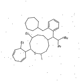 CCCCC(C(C)C)C(c1ccccc1CC1CCCCCC1)C1CCC(CC)CC(C2C=CCC=CC2CC)SC(C)CC1